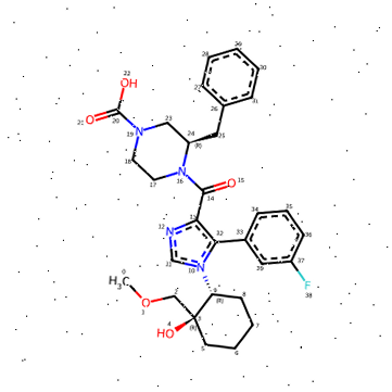 COC[C@@]1(O)CCCC[C@H]1n1cnc(C(=O)N2CCN(C(=O)O)C[C@H]2Cc2ccccc2)c1-c1cccc(F)c1